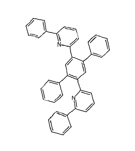 c1ccc(-c2cccc(-c3cc(-c4ccccc4)c(-c4cccc(-c5ccccc5)n4)cc3-c3ccccc3)n2)cc1